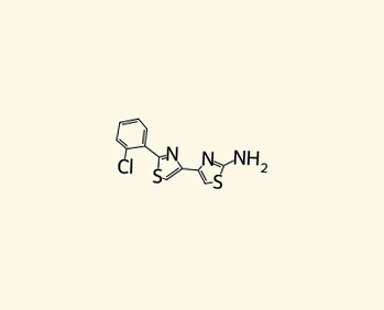 Nc1nc(-c2csc(-c3ccccc3Cl)n2)cs1